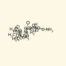 CCCN(C(=O)[C@@H](NC(=O)[C@H]1CCCCN1C)[C@@H](C)CC)[C@H](C[C@@H](O)c1nc(C(=O)N[C@@H](Cc2ccccc2)C[C@H](C)C(=O)NNC(=O)OCCOCCN)cs1)C(C)C